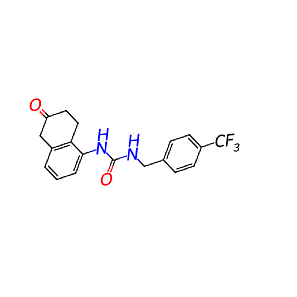 O=C1CCc2c(cccc2NC(=O)NCc2ccc(C(F)(F)F)cc2)C1